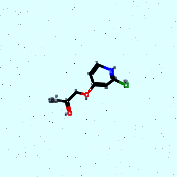 CC(C)(C)C(=O)COc1ccnc(Cl)c1